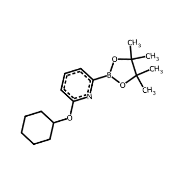 CC1(C)OB(c2cccc(OC3CCCCC3)n2)OC1(C)C